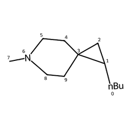 CCCCC1CC12CCN(C)CC2